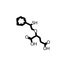 O=C(O)CCC(OCC(S)c1ccccc1)C(=O)O